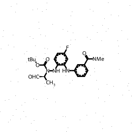 CNC(=O)c1cccc(Nc2cc(F)ccc2NN(C(=O)OC(C)(C)C)[C@@H](C)C=O)c1